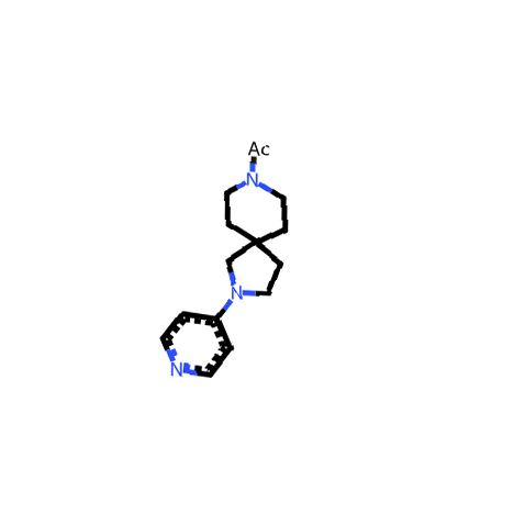 CC(=O)N1CCC2(CC1)CCN(c1ccncc1)C2